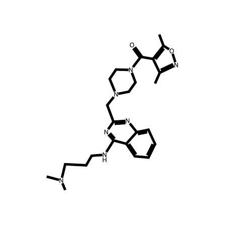 Cc1noc(C)c1C(=O)N1CCN(Cc2nc(NCCCN(C)C)c3ccccc3n2)CC1